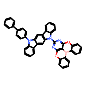 c1ccc(-c2ccc(-n3c4ccccc4c4cc5c(cc43)c3ccccc3n5-c3nc4c5c(n3)Oc3ccccc3B5c3ccccc3O4)cc2)cc1